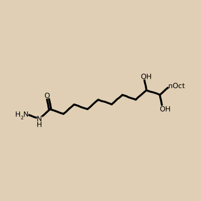 CCCCCCCCC(O)C(O)CCCCCCCC(=O)NN